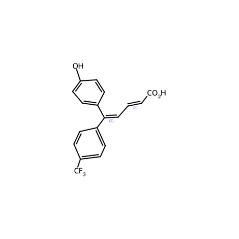 O=C(O)/C=C/C=C(\c1ccc(O)cc1)c1ccc(C(F)(F)F)cc1